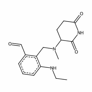 CCNc1cccc(C=O)c1CN(C)C1CCC(=O)NC1=O